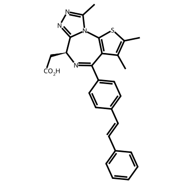 Cc1sc2c(c1C)C(c1ccc(/C=C/c3ccccc3)cc1)=N[C@@H](CC(=O)O)c1nnc(C)n1-2